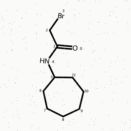 O=C(CBr)NC1CCCCCC1